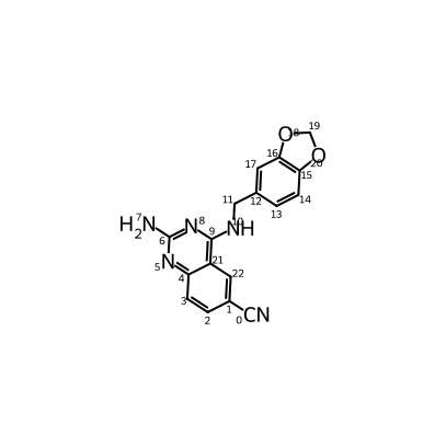 N#Cc1ccc2nc(N)nc(NCc3ccc4c(c3)OCO4)c2c1